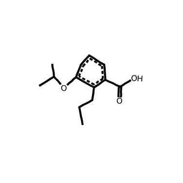 CCCc1c(OC(C)C)cccc1C(=O)O